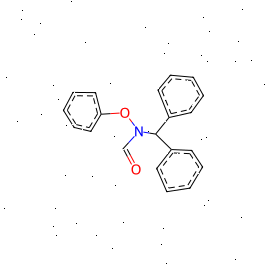 O=CN(Oc1ccccc1)C(c1ccccc1)c1ccccc1